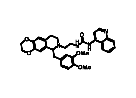 COc1ccc(CC2c3cc4c(cc3CCN2CCNC(=O)Nc2ccnc3ccccc23)OCCO4)cc1OC